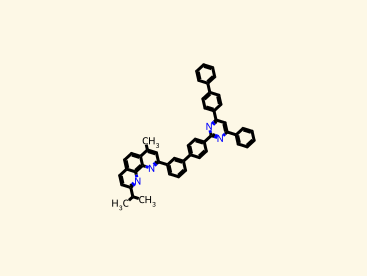 Cc1cc(-c2cccc(-c3ccc(-c4nc(-c5ccccc5)cc(-c5ccc(-c6ccccc6)cc5)n4)cc3)c2)nc2c1ccc1ccc(C(C)C)nc12